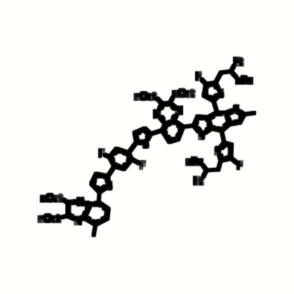 CCCCCCCCc1nc2c(C)ccc(-c3ccc(-c4cc(F)c(-c5ccc(-c6ccc(-c7cc8c(-c9cc(F)c(CC(CC)CCCC)s9)c9sc(C)cc9c(-c9cc(F)c(CC(CC)CCCC)s9)c8s7)c7nc(CCCCCCCC)c(CCCCCCCC)nc67)s5)cc4F)s3)c2nc1CCCCCCCC